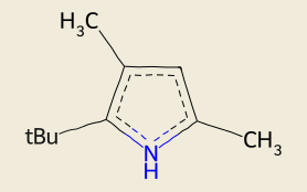 Cc1cc(C)c(C(C)(C)C)[nH]1